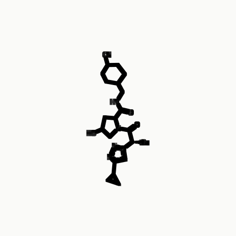 CC(C)(C)[C@@H](C(=O)N1CC(O)CC1C(=O)NCC1CCC(C#N)CC1)n1cc(C2CC2)nn1